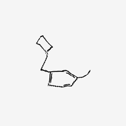 Cc1ccnc(CN2CCC2)c1